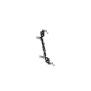 Nc1ccc2cc(C(O)COCCOCCOCCOCCOCC(O)c3ccc4nc(N)ccc4c3)ccc2n1